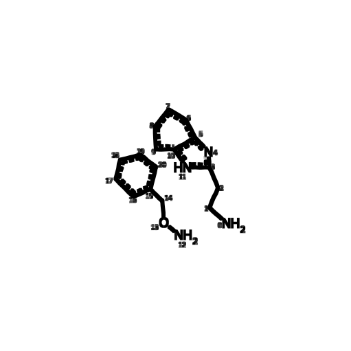 NCCc1nc2ccccc2[nH]1.NOCc1ccccc1